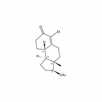 CCC1=C2CC[C@]3(C)[C@@H](OC(C)=O)CC[C@H]3[C@@H]2CCC1=O